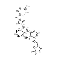 CC1(C)CCC(COc2cccc(-c3cn([C@H]4C[C@@H](CN5CCC(F)CC5)C4)c4ncnc(N)c34)c2)O1